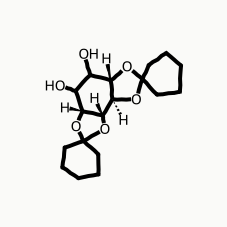 OC1C(O)[C@@H]2OC3(CCCCC3)O[C@H]2[C@@H]2OC3(CCCCC3)O[C@H]12